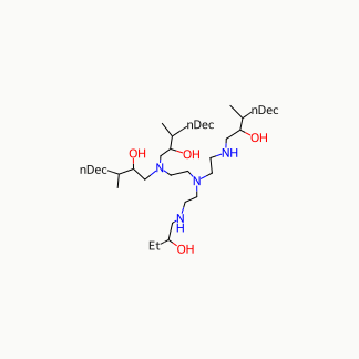 CCCCCCCCCCC(C)C(O)CNCCN(CCNCC(O)CC)CCN(CC(O)C(C)CCCCCCCCCC)CC(O)C(C)CCCCCCCCCC